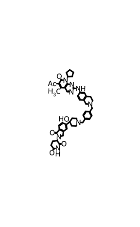 CC(=O)c1c(C)c2cnc(Nc3ccc4c(c3)CCN(Cc3ccc(CN5CCC(O)(c6ccc7c(c6)CN(C6CCC(=O)NC6=O)C7=O)CC5)cc3)C4)nc2n(C2CCCC2)c1=O